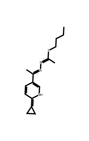 CCCCS/C(C)=N/N=C(\C)C1=CNC(=C2CC2)C=C1